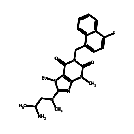 CCn1c(N(C)CC(C)N)nc2c1c(=O)n(Cc1ccc(F)c3ccccc13)c(=O)n2C